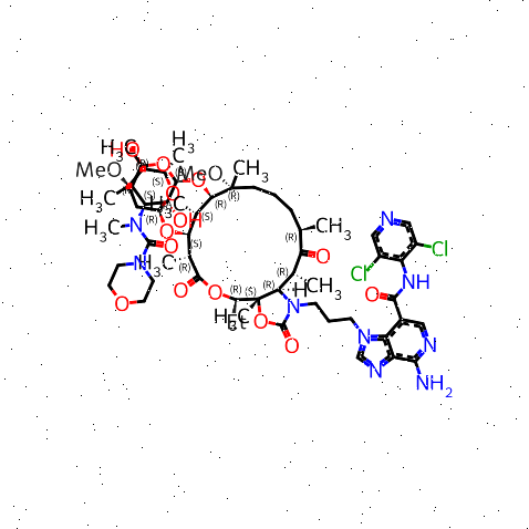 CC[C@H]1OC(=O)[C@H](C)[C@@H](O[C@H]2C[C@@](C)(OC)[C@@H](O)[C@H](C)O2)[C@H](C)[C@@H](O[C@@H]2O[C@H](C)C[C@H](N(C)C(=O)N3CCOCC3)[C@H]2O)[C@](C)(OC)CCC[C@@H](C)C(=O)[C@H](C)[C@H]2N(CCCn3cnc4c(N)ncc(C(=O)Nc5c(Cl)cncc5Cl)c43)C(=O)O[C@]12C